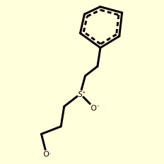 [O]CCC[S+]([O-])CCc1ccccc1